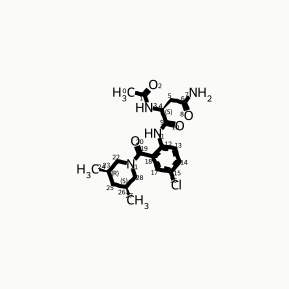 CC(=O)N[C@@H](CC(N)=O)C(=O)Nc1ccc(Cl)cc1C(=O)N1C[C@H](C)C[C@H](C)C1